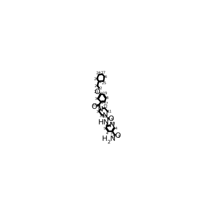 NC(=O)c1ccc(NC(=O)N2CCN(C(=O)c3cccc(OCCC4CCCCC4)c3)CC2)nc1